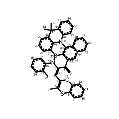 C=C1/C(=C\C2=C(C)Sc3ccccc3O2)N(c2ccccc2C)B2c3cccc4c3N(c3ccccc3C4(C)C)c3c2c1cc1ccccc31